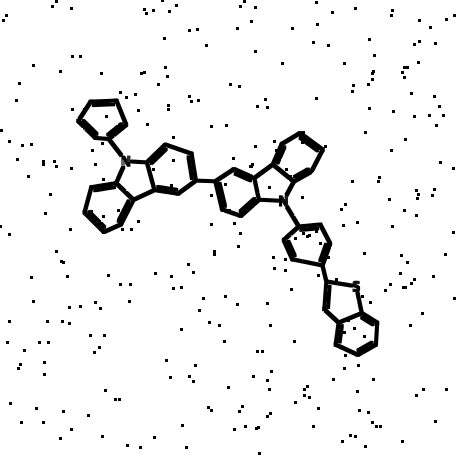 c1ccc(-n2c3ccccc3c3cc(-c4ccc5c(c4)c4ccccc4n5-c4ccc(-c5cc6ccccc6s5)cc4)ccc32)cc1